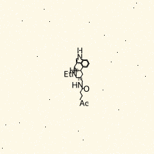 CCN1C[C@H](CNC(=O)CCCC(C)=O)CC2c3cccc4[nH]cc(c34)C[C@H]21